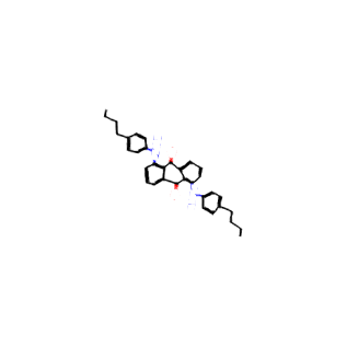 CCCCc1ccc(Nc2cccc3c2C(=O)c2cccc(Nc4ccc(CCCC)cc4)c2C3=O)cc1